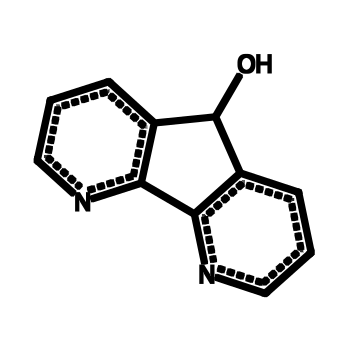 OC1c2cccnc2-c2ncccc21